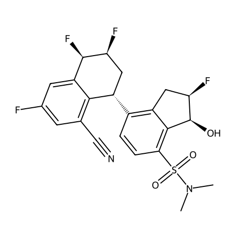 CN(C)S(=O)(=O)c1ccc([C@H]2C[C@H](F)[C@H](F)c3cc(F)cc(C#N)c32)c2c1[C@H](O)[C@H](F)C2